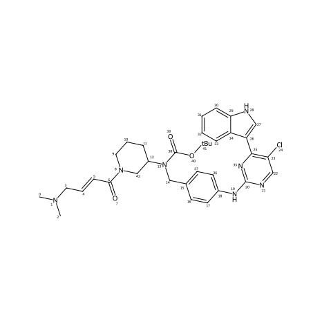 CN(C)CC=CC(=O)N1CCCC(N(Cc2ccc(Nc3ncc(Cl)c(-c4c[nH]c5ccccc45)n3)cc2)C(=O)OC(C)(C)C)C1